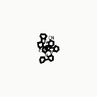 N#Cc1ccc2c3ccccc3n(-c3c(C#N)cccc3-c3cccc(-n4c5ccccc5c5cccc(-n6c7ccccc7c7ccccc76)c54)c3)c2c1